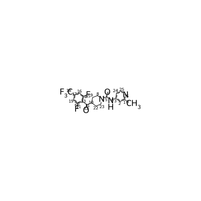 Cc1cc(NC(=O)N2CCC(C(=O)c3c(F)cc(C(F)(F)F)cc3F)CC2)ccn1